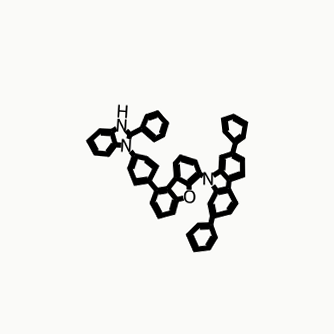 c1ccc(-c2ccc3c4ccc(-c5ccccc5)cc4n(-c4cccc5c4oc4cccc(-c6ccc(N7c8ccccc8NC7c7ccccc7)cc6)c45)c3c2)cc1